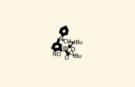 CN(Cc1ccc(N=O)c(C[C@H](NC(=O)OC(C)(C)C)C(=O)OC(C)(C)C)c1)c1ccccc1